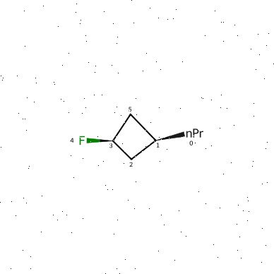 CCC[C@H]1C[C@@H](F)C1